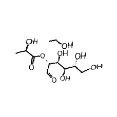 CC(O)C(=O)O[C@@H](C=O)[C@@H](O)[C@H](O)[C@H](O)CO.CCO